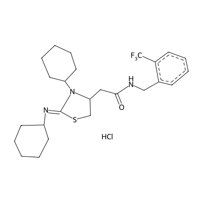 Cl.O=C(CC1CSC(=NC2CCCCC2)N1C1CCCCC1)NCc1ccccc1C(F)(F)F